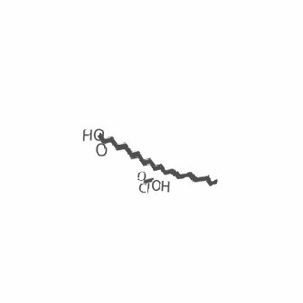 CCCCCCCCCCCCCCCCCC(=O)O.O=C(Cl)CO